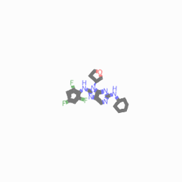 Fc1cc(F)c(Nc2nc3cnc(NC4CCCCC4)nc3n2[C@H]2CCOC2)c(F)c1